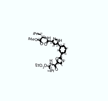 CCOC(=O)[C@@H](NC(=O)c1cnc(-c2cccc(-c3cc(C(=O)N[C@@H](CC(C)C)C(=O)OC)n[nH]3)c2)o1)C(C)C